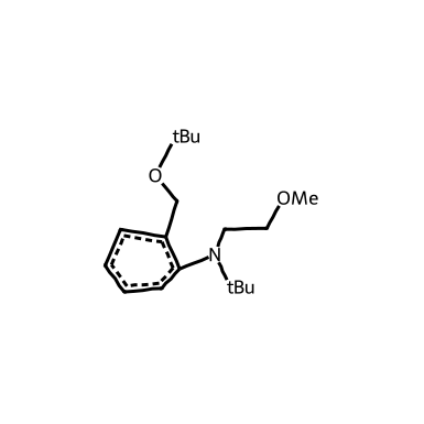 COCCN(c1ccccc1COC(C)(C)C)C(C)(C)C